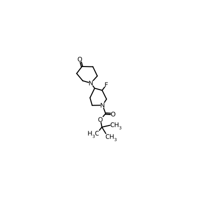 CC(C)(C)OC(=O)N1CCC(N2CCC(=O)CC2)C(F)C1